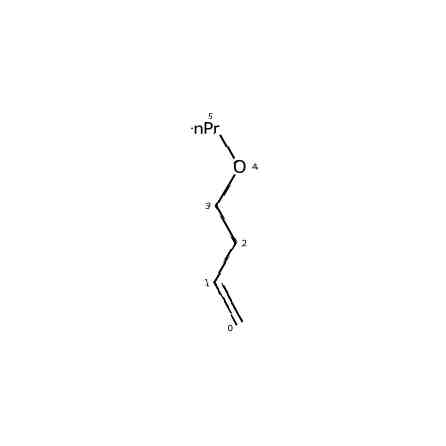 C=CCCO[CH]CC